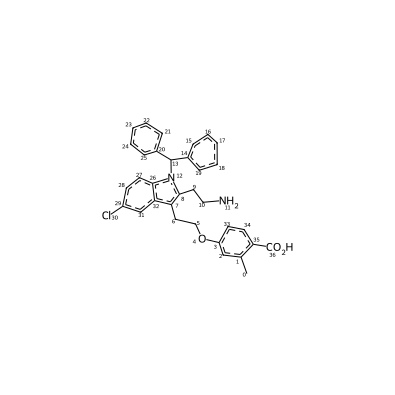 Cc1cc(OCCc2c(CCN)n(C(c3ccccc3)c3ccccc3)c3ccc(Cl)cc23)ccc1C(=O)O